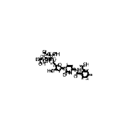 O=C(Nc1ccn(C2CC(O)C(COP(=O)(O)OP(=O)(O)OP(=O)(O)O)O2)c(=O)n1)c1ccccc1CS